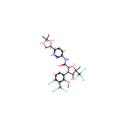 COc1c(C2C(C(=O)Nc3ccc(C4COC(C)(C)O4)nc3)OC(C)(C(F)(F)F)C2C)ccc(F)c1C(F)F